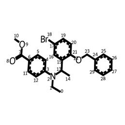 CCN(c1ccc(C(=O)OC)cc1)C(C)c1cc(Br)ccc1OCc1ccccc1